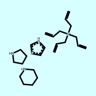 C1CCNC1.C1CCNCC1.C=CC[N+](CC=C)(CC=C)CC=C.c1c[nH]cn1